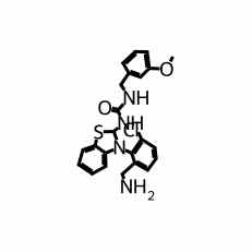 COc1cccc(CNC(=O)NC2Sc3ccccc3N2c2c(Cl)cccc2CN)c1